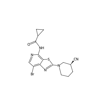 N#C[C@H]1CCCN(c2nc3c(Br)cnc(NC(=O)C4CC4)c3s2)C1